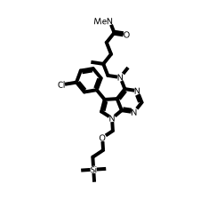 CNC(=O)CCC(C)CN(C)c1ncnc2c1c(-c1cccc(Cl)c1)cn2COCC[Si](C)(C)C